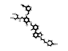 Cc1c(COc2cc(OCc3cncc(C#N)c3)c(CNC(CO)CO)cc2Cl)cccc1-c1cccc2c1CCN2CCCN1CCC(O)CC1